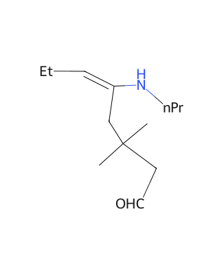 CC/C=C(\CC(C)(C)CC=O)NCCC